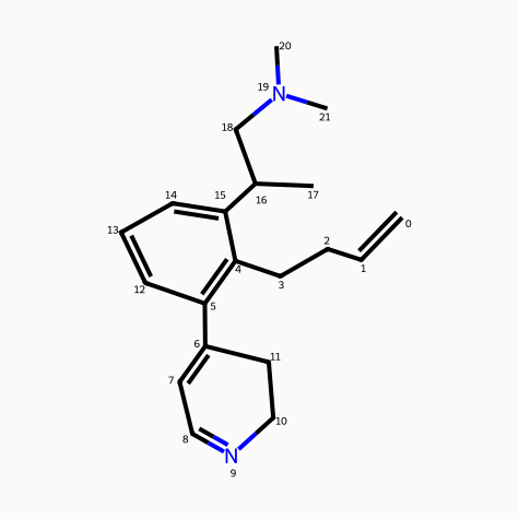 C=CCCc1c(C2=CC=NCC2)cccc1C(C)CN(C)C